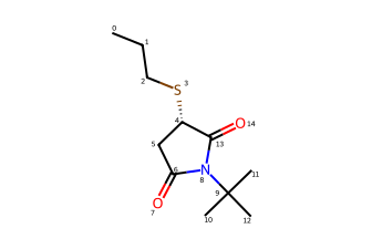 CCCS[C@H]1CC(=O)N(C(C)(C)C)C1=O